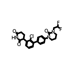 O=C1CCC(c2cccc(-c3ccc(N4CCCN(CC(F)F)C4=O)cc3)c2Cl)C(=O)N1